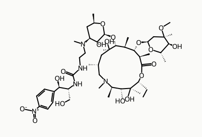 CC[C@H]1OC(=O)[C@H](C)[C@@H](O[C@H]2C[C@@](C)(OC)[C@@H](O)[C@H](C)O2)[C@H](C)[C@@H](O[C@@H]2O[C@H](C)C[C@H](N(C)CCNC(=O)N[C@H](CO)[C@H](O)c3ccc([N+](=O)[O-])cc3)[C@H]2O)[C@](C)(O)C[C@@H](C)CN(C)[C@H](C)[C@@H](O)[C@]1(C)O